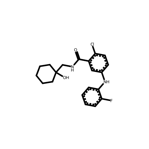 O=C(NCC1(O)CCCCC1)c1cc(Nc2ccccc2F)ccc1Cl